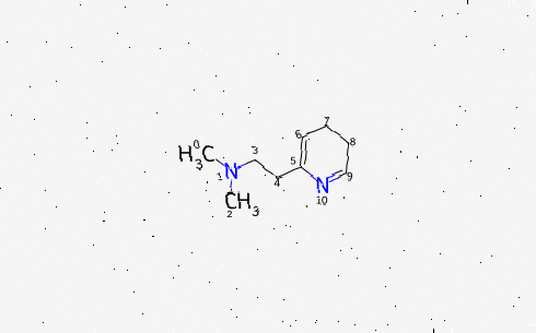 CN(C)CCC1=CCCC=N1